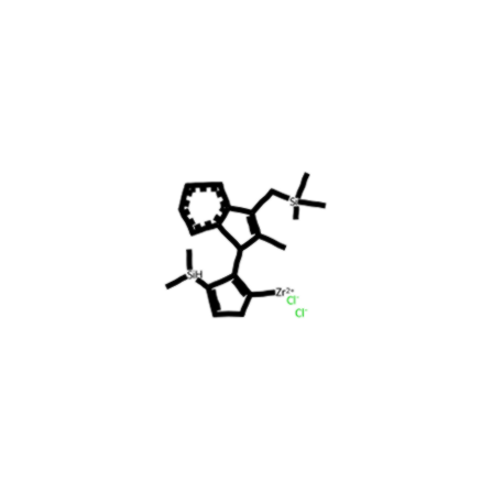 CC1=C(C[Si](C)(C)C)c2ccccc2C1C1=[C]([Zr+2])CC=C1[SiH](C)C.[Cl-].[Cl-]